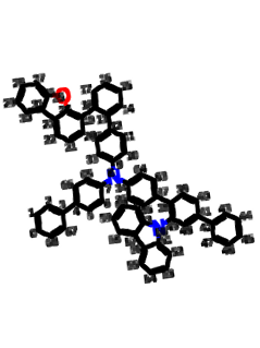 c1ccc(-c2ccc(N(c3ccc(-c4ccccc4-c4cccc5c4oc4ccccc45)cc3)c3ccc(-c4ccc(-c5ccccc5)cc4-n4c5ccccc5c5ccccc54)cc3)cc2)cc1